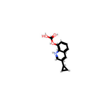 O=C(O)Oc1cccc2cc(C3CC3)cnc12